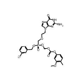 COc1cc(OC(=O)OCOP(=O)(COCCn2cnc3c(=O)[nH]c(N)nc32)OCc2cccc(Cl)c2)ccc1C